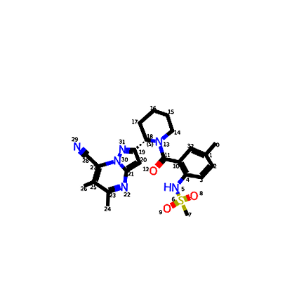 Cc1ccc(NS(C)(=O)=O)c(C(=O)N2CCCC[C@H]2c2cc3nc(C)c(C)c(C#N)n3n2)c1